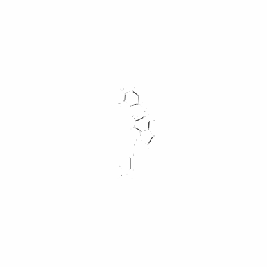 C[Si](C)(C)CCOCn1ccc2c(F)c(Oc3ccc(F)c(C#N)c3)c(F)cc21